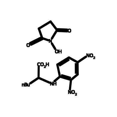 CCCCC(Nc1ccc([N+](=O)[O-])cc1[N+](=O)[O-])C(=O)O.O=C1CCC(=O)N1O